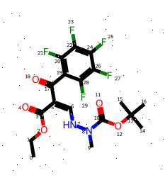 CCOC(=O)C(=CNN(C)C(=O)OC(C)(C)C)C(=O)c1c(F)c(F)c(F)c(F)c1F